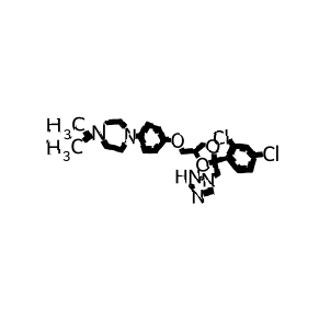 CC(C)N1CCN(c2ccc(OCC3COC(CN4C=NCN4)(c4ccc(Cl)cc4Cl)O3)cc2)CC1